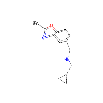 CC(C)c1nc2cc(CNCC3CC3)ccc2o1